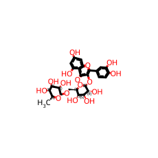 C[C@@H]1OC(OC[C@H]2O[C@@H](Oc3c(-c4ccc(O)c(O)c4)oc4cc(O)cc(O)c4c3=O)[C@H](O)[C@@H](O)[C@@H]2O)[C@H](O)[C@H](O)[C@H]1O